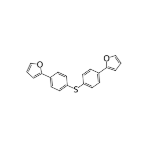 c1coc(-c2ccc(Sc3ccc(-c4ccco4)cc3)cc2)c1